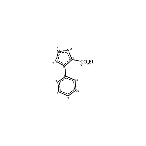 CCOC(=O)c1snnc1-c1ccccc1